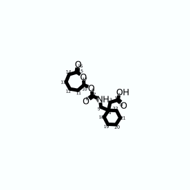 O=C(O)CC1(CNC(=O)OC2CCCCC(=O)O2)CCCCC1